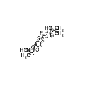 CC(CC1Oc2cc3cc(C(F)CCC(=O)N(O)C(C)C)sc3cc2O1)NO